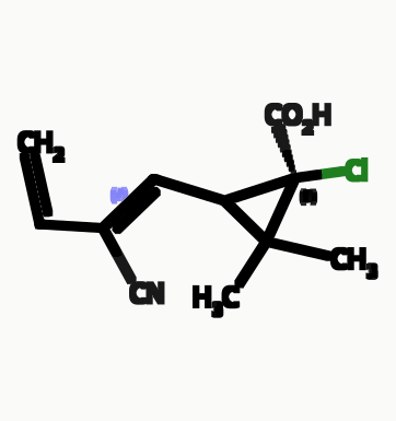 C=C/C(C#N)=C/C1C(C)(C)[C@@]1(Cl)C(=O)O